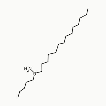 CCCCCCCCCCCCCCN(N)CCCCC